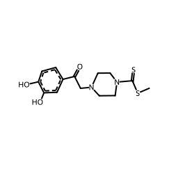 CSC(=S)N1CCN(CC(=O)c2ccc(O)c(O)c2)CC1